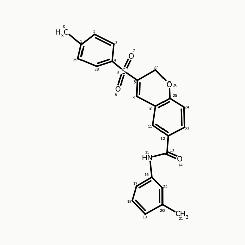 Cc1ccc(S(=O)(=O)C2=Cc3cc(C(=O)Nc4cccc(C)c4)ccc3OC2)cc1